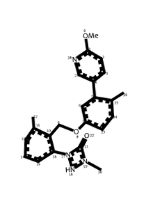 COc1ccc(-c2cc(OCc3c(C)cccc3-n3[nH]n(C)c3=O)ccc2C)cn1